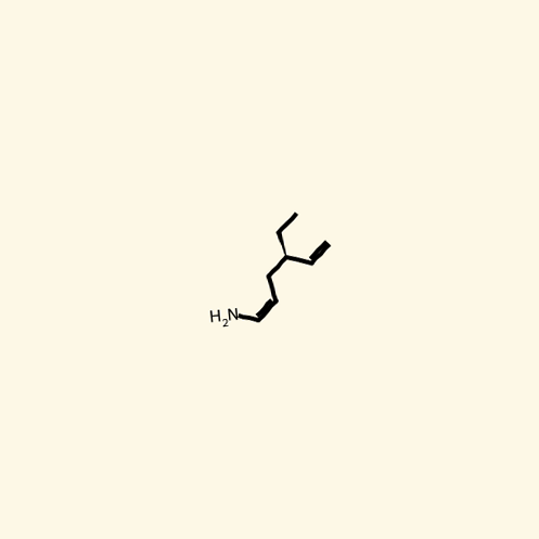 C=C[C@H](CC)C/C=C\N